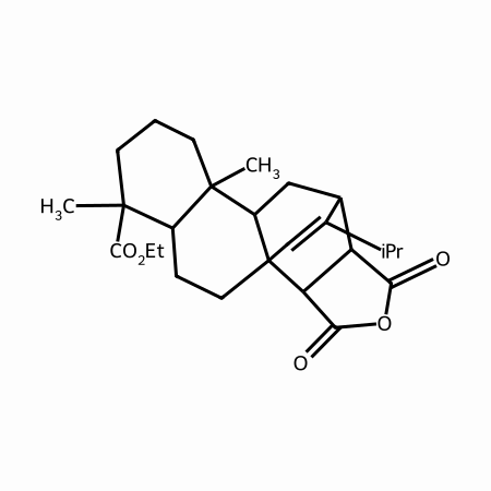 CCOC(=O)C1(C)CCCC2(C)C1CCC13C=C(C(C)C)C(CC21)C1C(=O)OC(=O)C13